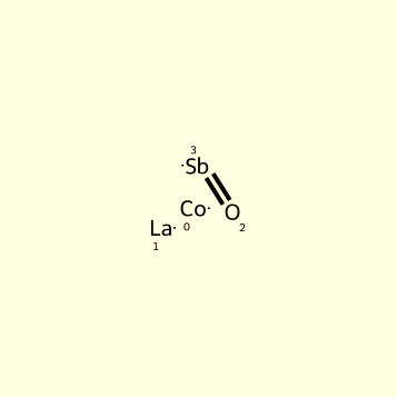 [Co].[La].[O]=[Sb]